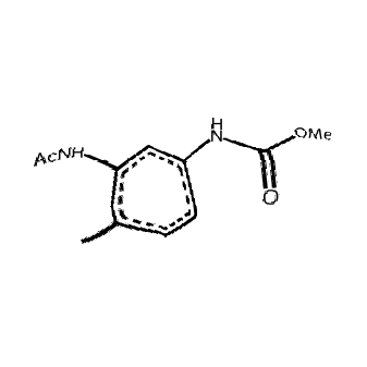 COC(=O)Nc1ccc(C)c(NC(C)=O)c1